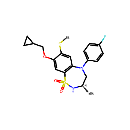 CCCC[C@@H]1CN(c2ccc(F)cc2)c2cc(SCC)c(OCC3CC3)cc2S(=O)(=O)N1